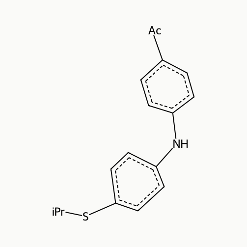 CC(=O)c1ccc(Nc2ccc(SC(C)C)cc2)cc1